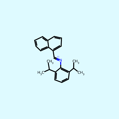 CC(C)c1cccc(C(C)C)c1/N=C/c1cccc2ccccc12